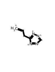 C=CCc1nncnn1